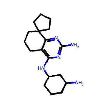 Nc1nc(NC2CCCC(N)C2)c2c(n1)C1(CCCC1)CCC2